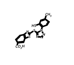 Cc1ccc(-n2nnnc2Sc2nc3ccc(C(=O)O)cc3s2)c(S)c1